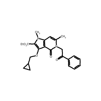 CCOC(=O)c1c(OCC2CC2)c2c(=O)n(CC(=O)c3ccccc3)c(C)cc2n1C